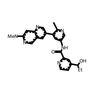 CCC(O)c1ccnc(C(=O)Nc2cnc(C)c(-c3cnc4cc(NC)ncc4c3)c2)c1